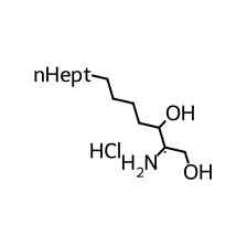 CCCCCCCCCCCC(O)[C](N)CO.Cl